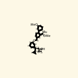 COc1cccc(-c2ccc(COc3cccc([C@@H](CP(C)(=O)O)C4CC4)c3)cc2[C@@H](OC)C(C)(C)C)c1